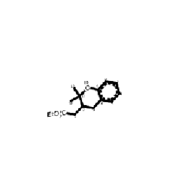 CCOC(=O)CC1Cc2ccccc2OC1(C)C